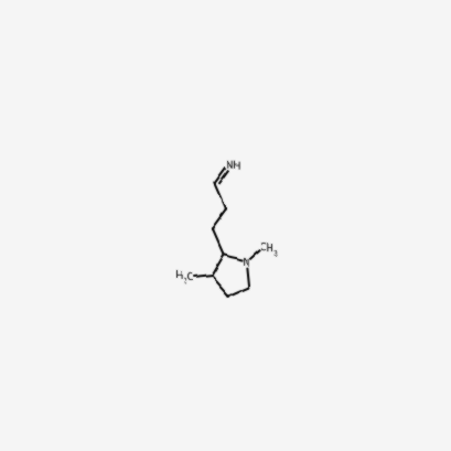 CC1CCN(C)C1CCC=N